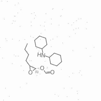 C1CCC(NC2CCCCC2)CC1.CCCCC1O[C@H]1OC=O